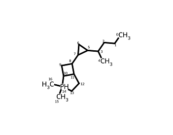 CCCC(C)C1CC1C1CC2C1CC[PH]2(C)C